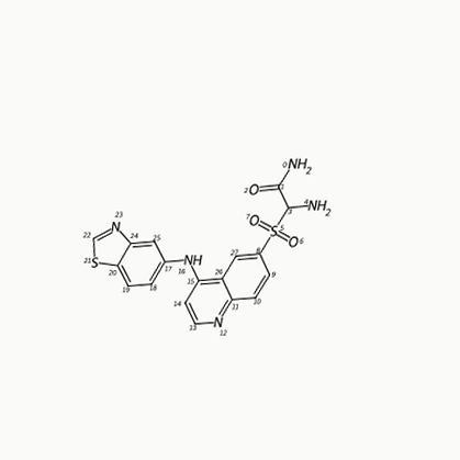 NC(=O)C(N)S(=O)(=O)c1ccc2nccc(Nc3ccc4scnc4c3)c2c1